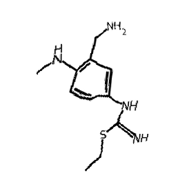 CCSC(=N)Nc1ccc(NC)c(CN)c1